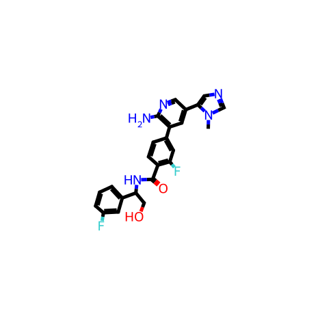 Cn1cncc1-c1cnc(N)c(-c2ccc(C(=O)NC(CO)c3cccc(F)c3)c(F)c2)c1